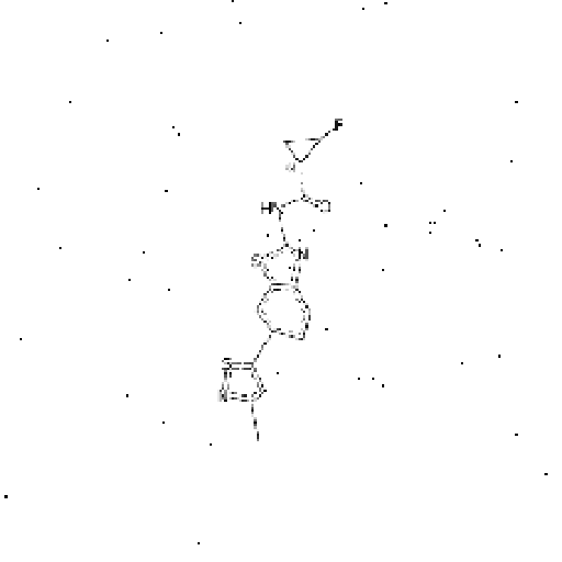 Cc1cc(-c2ccc3nc(NC(=O)[C@@H]4CC4F)sc3c2)sn1